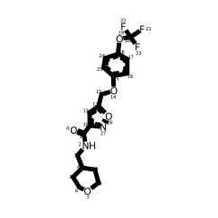 O=C(NCC1CCOCC1)c1cc(COc2ccc(OC(F)(F)F)cc2)on1